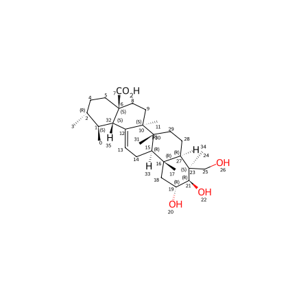 C[C@H]1[C@H](C)CC[C@]2(C(=O)O)CC[C@]3(C)C(=CC[C@@H]4[C@@]5(C)C[C@@H](O)[C@H](O)[C@](C)(CO)[C@@H]5CC[C@]43C)[C@H]12